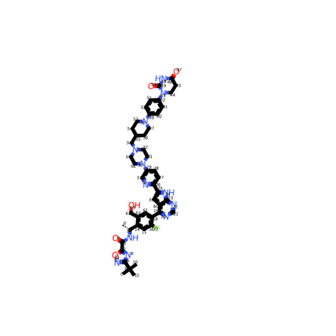 C[C@@H](NC(=O)c1nc(C(C)(C)C)no1)c1cc(F)c(-c2ncnc3[nH]c(-c4ccc(N5CCN(CC6CCN(c7ccc(N8CCC(=O)NC8=O)cc7)CC6)CC5)cn4)cc23)cc1CO